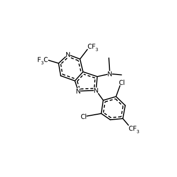 CN(C)c1c2c(C(F)(F)F)nc(C(F)(F)F)cc2nn1-c1c(Cl)cc(C(F)(F)F)cc1Cl